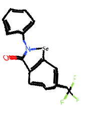 O=c1c2ccc(C(F)(F)F)cc2[se]n1-c1ccccc1